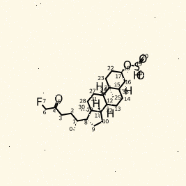 C[C@H](CCC(=O)CF)[C@H]1CC[C@H]2[C@@H]3CC[C@@H]4C[C@H](O[SH](=O)=O)CC[C@]4(C)[C@H]3CC[C@]12C